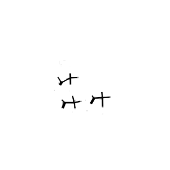 O.O=C([O-])C(F)(F)F.O=C([O-])C(F)(F)F.O=C([O-])C(F)(F)F.[Eu+3]